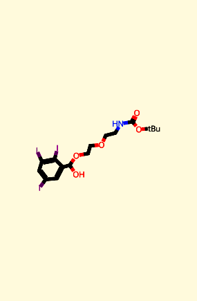 CC(C)(C)OC(=O)NCCOCCOC(O)c1cc(I)cc(I)c1I